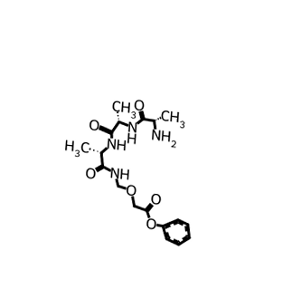 C[C@H](N)C(=O)N[C@@H](C)C(=O)N[C@@H](C)C(=O)NCOCC(=O)Oc1ccccc1